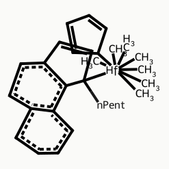 CCCCC[C]1([Hf]([CH3])([CH3])([CH3])([CH3])([CH3])([CH3])([CH3])[CH]2C=CC=C2)C=Cc2ccc3ccccc3c21